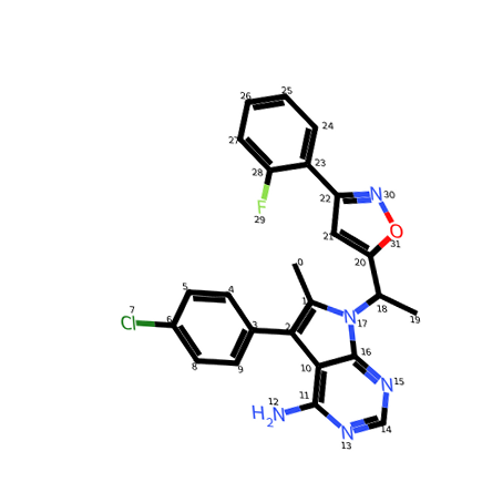 Cc1c(-c2ccc(Cl)cc2)c2c(N)ncnc2n1C(C)c1cc(-c2ccccc2F)no1